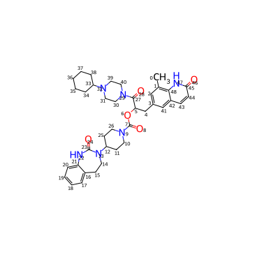 Cc1cc(CC(OC(=O)N2CCC(N3CCc4ccccc4NC3=O)CC2)C(=O)N2CCN(C3CCCCC3)CC2)cc2ccc(=O)[nH]c12